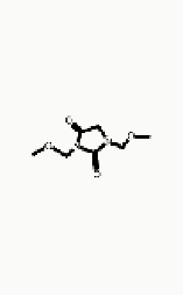 COCN1CC(=O)N(COC)C1=O